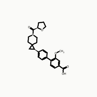 COc1cc(C(=O)O)ccc1-c1ccc([C@H]2CC23CCN(C(=O)[C@H]2CCCO2)CC3)cc1